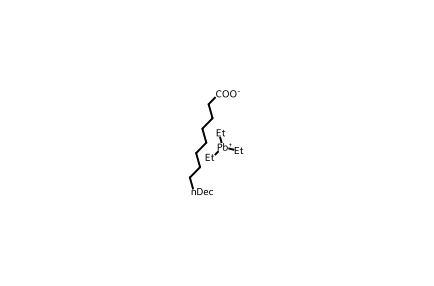 CCCCCCCCCCCCCCCCCC(=O)[O-].C[CH2][Pb+]([CH2]C)[CH2]C